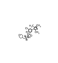 Cc1nn(C)c(C)c1-c1cc(Cl)c(F)c(C(=O)NNS(=O)(=O)CC2CCOCC2)c1